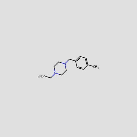 CCCCCCCCCCN1CCN(Cc2ccc(C)cc2)CC1